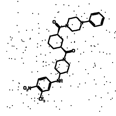 O=C([C@@H]1CCC[C@H](C(=O)N2CCC(Nc3ccc([N+](=O)[O-])c(C(F)(F)F)c3)CC2)C1)N1CCN(c2ccccc2)CC1